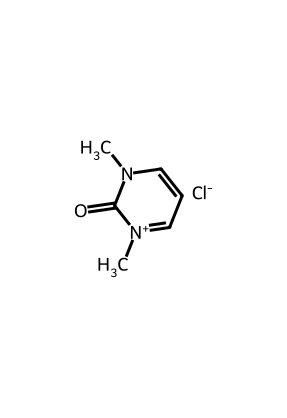 Cn1ccc[n+](C)c1=O.[Cl-]